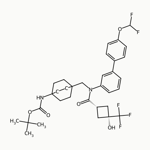 CC(C)(C)OC(=O)NC12CCC(CN(c3cccc(-c4ccc(OC(F)F)cc4)c3)C(=O)[C@H]3C[C@](O)(C(F)(F)F)C3)(CC1)CC2